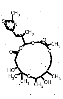 C/C(=C\c1csc(C)n1)C1CC2OC2(C)CCCC(C)C(O)C(C)CC(C)(C)C(O)CC(=O)O1